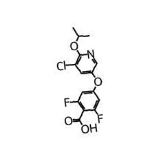 CC(C)Oc1ncc(Oc2cc(F)c(C(=O)O)c(F)c2)cc1Cl